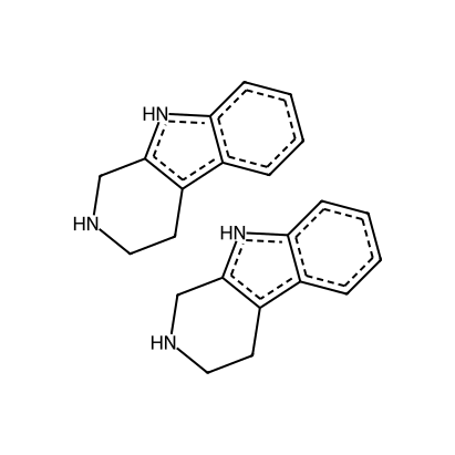 c1ccc2c3c([nH]c2c1)CNCC3.c1ccc2c3c([nH]c2c1)CNCC3